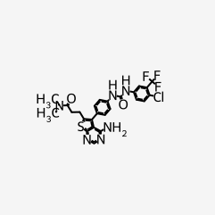 CN(C)C(=O)CCc1sc2ncnc(N)c2c1-c1ccc(NC(=O)Nc2ccc(Cl)c(C(F)(F)F)c2)cc1